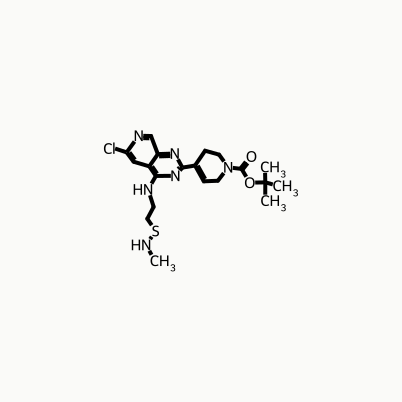 CNSCCNc1nc(C2=CCN(C(=O)OC(C)(C)C)CC2)nc2cnc(Cl)cc12